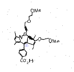 COCCOCC#CB(C#CCOCCOC)n1c(C)cc(C)c1/C(=C1\N=C(C)C=C1C)c1ccc(C(=O)O)cc1